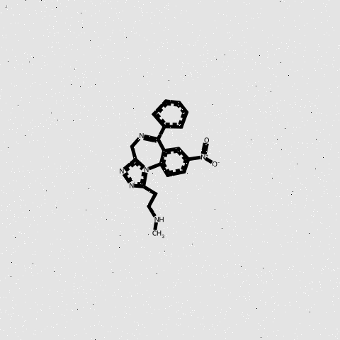 CNCCc1nnc2n1-c1ccc([N+](=O)[O-])cc1C(c1ccccc1)=NC2